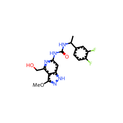 COc1n[nH]c2cc(NC(=O)NC(C)c3ccc(F)c(F)c3)nc(CO)c12